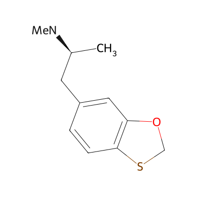 CN[C@@H](C)Cc1ccc2c(c1)OCS2